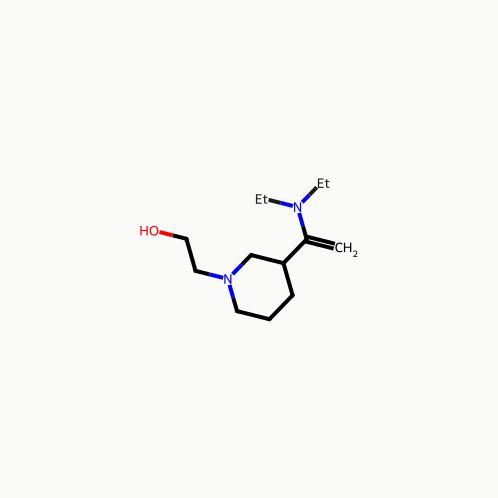 C=C(C1CCCN(CCO)C1)N(CC)CC